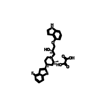 C[C@@H]1C[C@@H](c2cc3c(F)cccc3s2)CCN1C[C@H](O)COc1cccc2[nH]ccc12.O=C(O)C(=O)O